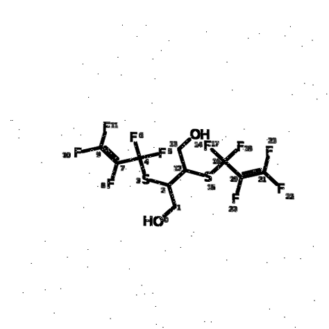 OCC(SC(F)(F)C(F)=C(F)F)C(CO)SC(F)(F)C(F)=C(F)F